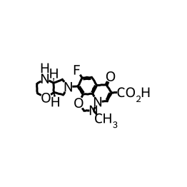 CN1COc2c(N3C[C@@H]4NCCO[C@H]4C3)c(F)cc3c(=O)c(C(=O)O)cn1c23